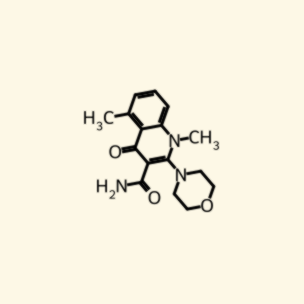 Cc1cccc2c1c(=O)c(C(N)=O)c(N1CCOCC1)n2C